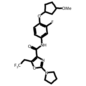 COC1CCC(Oc2ccc(NC(=O)c3nc(N4CCCC4)oc3CC(F)(F)F)cc2F)C1